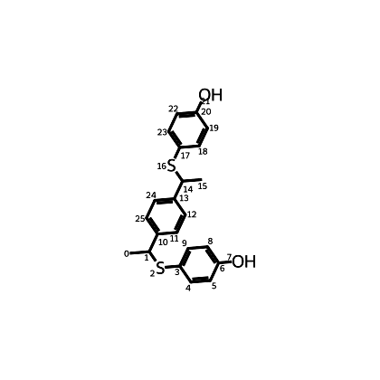 CC(Sc1ccc(O)cc1)c1ccc(C(C)Sc2ccc(O)cc2)cc1